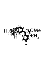 COCN(C)c1cc(Cl)cnc1C(=O)c1ccnc(NS(C)(=O)=O)c1